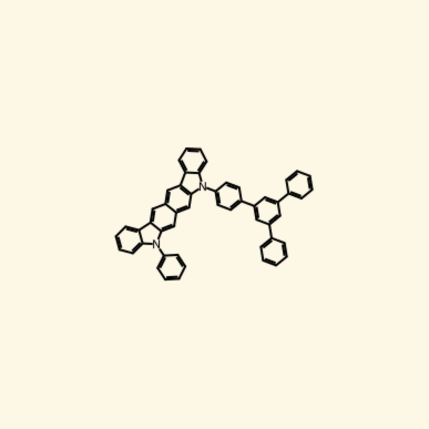 c1ccc(-c2cc(-c3ccccc3)cc(-c3ccc(-n4c5ccccc5c5cc6cc7c8ccccc8n(-c8ccccc8)c7cc6cc54)cc3)c2)cc1